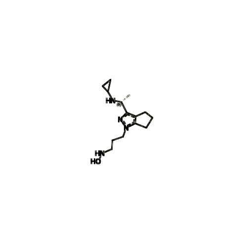 C[C@@H](NC1CC1)c1nn(CCCNO)c2c1CCC2